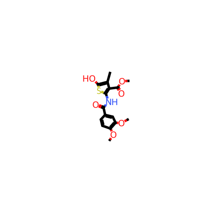 COC(=O)c1c(NC(=O)c2ccc(OC)c(OC)c2)sc(O)c1C